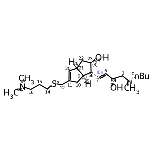 CCCC[C@H](C)C[C@H](O)/C=C/[C@@H]1[C@H]2CC(CSCCCN(C)C)=C[C@H]2C[C@H]1O